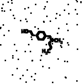 CCCN(C)C[C@H]1CC[C@H](CCO)CC1